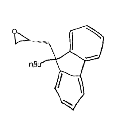 CCCCC1(C[C@@H]2CO2)c2ccccc2-c2ccccc21